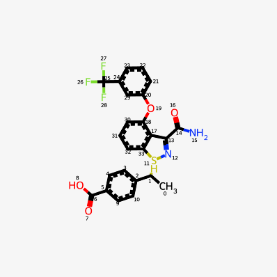 CC(c1ccc(C(=O)O)cc1)[SH]1N=C(C(N)=O)c2c(Oc3cccc(C(F)(F)F)c3)cccc21